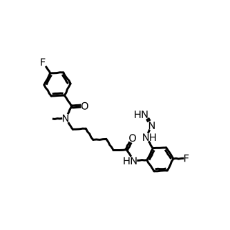 CN(CCCCCC(=O)Nc1ccc(F)cc1NN=N)C(=O)c1ccc(F)cc1